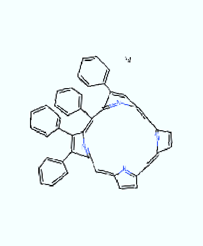 C1=CC2=NC1=CC1=NC(=C(c3ccccc3)C3=NC(=CC4=NC(=C2)C=C4)C=C3c2ccccc2)C(c2ccccc2)=C1c1ccccc1.[Pd]